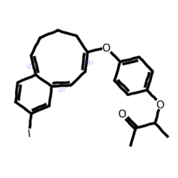 CC(=O)C(C)Oc1ccc(O/C2=C/C=c3/cc(I)cc/c3=C/CCC2)cc1